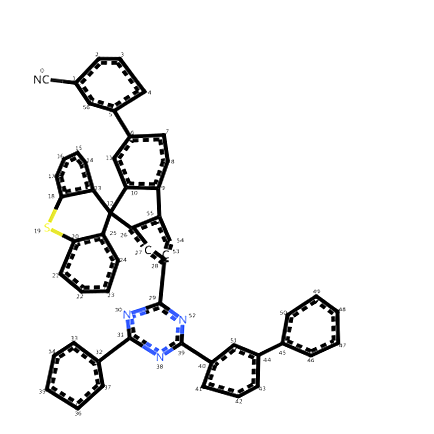 N#Cc1cccc(-c2ccc3c(c2)C2(c4ccccc4Sc4ccccc42)c2cc(-c4nc(-c5ccccc5)nc(-c5cccc(-c6ccccc6)c5)n4)ccc2-3)c1